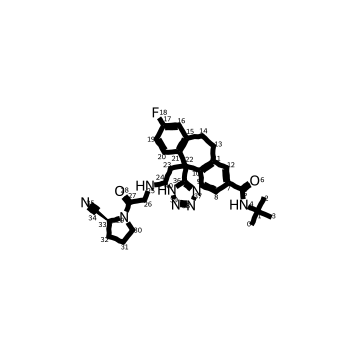 CC(C)(C)NC(=O)c1ccc2c(c1)CCc1cc(F)ccc1C2(CCNCC(=O)N1CCC[C@H]1C#N)c1nnn[nH]1